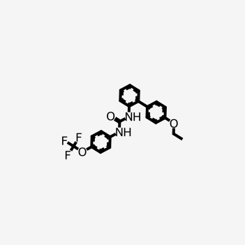 CCOc1ccc(-c2ccccc2NC(=O)Nc2ccc(OC(F)(F)F)cc2)cc1